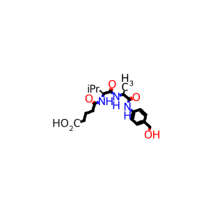 CC(C)[C@H](NC(=O)CCCC(=O)O)C(=O)N[C@@H](C)C(=O)Nc1ccc(CO)cc1